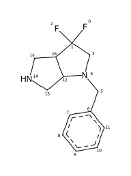 FC1(F)CN(Cc2ccccc2)C2CNCC21